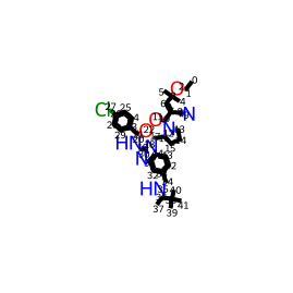 CCOC(C)(C)C=C(C#N)C(=O)N1CCCC1Cn1c(NC(=O)c2ccc(Cl)cc2)nc2cc(CNC(C)C(C)(C)C)ccc21